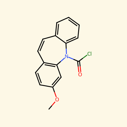 COc1ccc2c(c1)N(C(=O)Cl)c1ccccc1C=C2